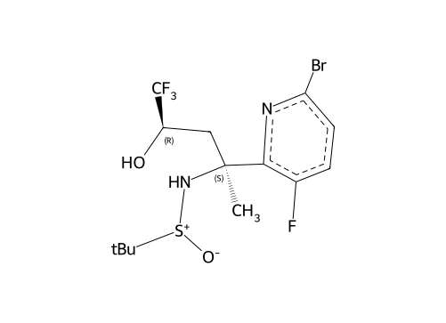 CC(C)(C)[S+]([O-])N[C@@](C)(C[C@@H](O)C(F)(F)F)c1nc(Br)ccc1F